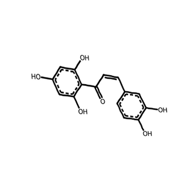 O=C(/C=C\c1ccc(O)c(O)c1)c1c(O)cc(O)cc1O